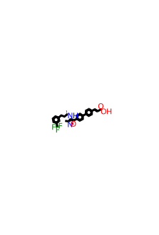 Cc1noc(-c2ccc(-c3ccc(C=CC(=O)O)cc3)cc2)c1N[C@@H](C)CCc1cccc(C(F)(F)F)c1